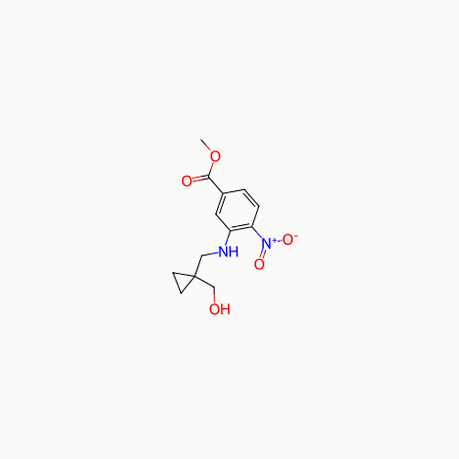 COC(=O)c1ccc([N+](=O)[O-])c(NCC2(CO)CC2)c1